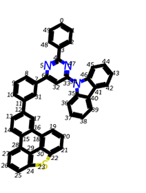 c1ccc(-c2nc(-c3cccc(-c4ccc5c(c4)c4cccc6sc7cccc5c7c64)c3)cc(-n3c4ccccc4c4ccccc43)n2)cc1